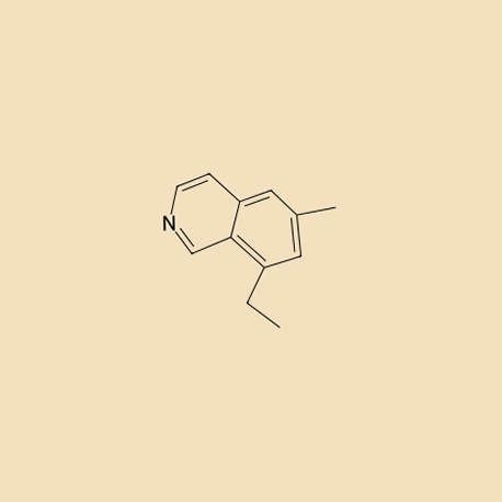 CCc1cc(C)cc2ccncc12